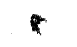 NCCNC(=O)[C@H](C[C@@H](O)CN)NC(=O)[C@@H]1Cc2cc(ccc2O)-c2ccc(O)c(c2)C[C@H](N)C(=O)N[C@@H](C[C@@H](O)CN)C(=O)N1